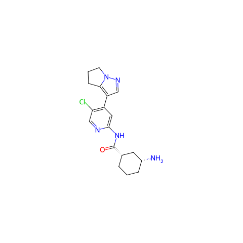 N[C@@H]1CCC[C@H](C(=O)Nc2cc(-c3cnn4c3CCC4)c(Cl)cn2)C1